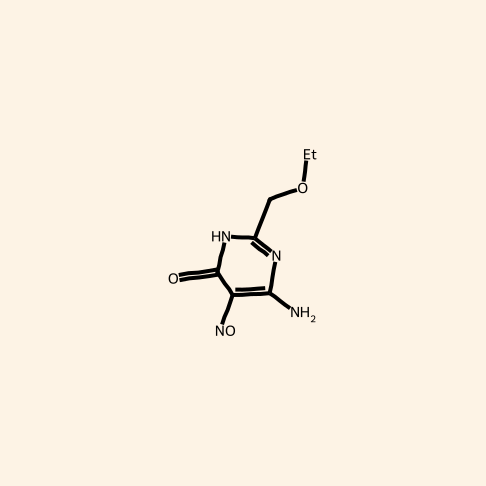 CCOCc1nc(N)c(N=O)c(=O)[nH]1